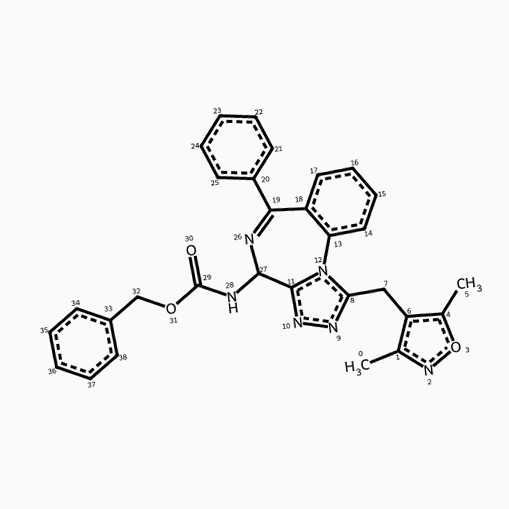 Cc1noc(C)c1Cc1nnc2n1-c1ccccc1C(c1ccccc1)=NC2NC(=O)OCc1ccccc1